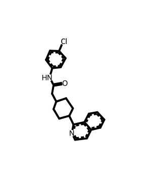 O=C(CC1CCC(c2nccc3ccccc23)CC1)Nc1ccc(Cl)cc1